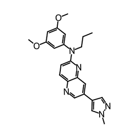 CCCN(c1cc(OC)cc(OC)c1)c1ccc2ncc(-c3cnn(C)c3)cc2n1